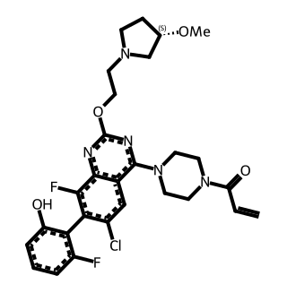 C=CC(=O)N1CCN(c2nc(OCCN3CC[C@H](OC)C3)nc3c(F)c(-c4c(O)cccc4F)c(Cl)cc23)CC1